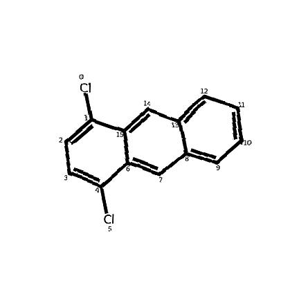 Clc1[c]cc(Cl)c2cc3c[c]ccc3cc12